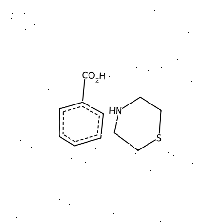 C1CSCCN1.O=C(O)c1ccccc1